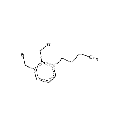 CCCCc1cccc(CBr)c1CBr